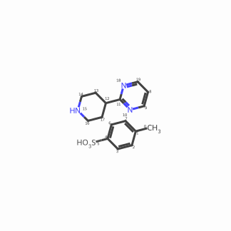 Cc1ccc(S(=O)(=O)O)cc1.c1cnc(C2CCNCC2)nc1